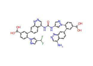 Nc1cnnc2cc(-c3cc(B(O)O)ccc3-n3cc(NC(=O)Nc4cnnc5cc(-c6cc(B(O)O)ccc6-n6cc(C(F)F)cn6)ccc45)cn3)ccc12